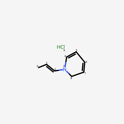 CC=CN1C=CC=CC1.Cl